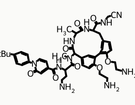 CC1NC(=O)C(N(C)C(=O)C(CCN)NC(=O)c2ccn(-c3ccc(C(C)(C)C)cc3)c(=O)c2)c2ccc(OCCN)c(c2)-c2cc(ccc2OCCN)CC(C(=O)NCC#N)NC1=O